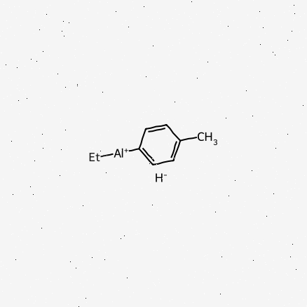 C[CH2][Al+][c]1ccc(C)cc1.[H-]